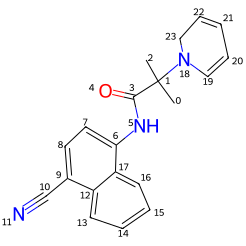 CC(C)(C(=O)Nc1ccc(C#N)c2ccccc12)N1C=CC=CC1